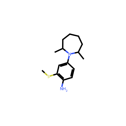 CSc1cc(N2C(C)CCCCC2C)ccc1N